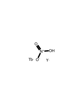 O=[N+]([O-])O.[Tb].[Y]